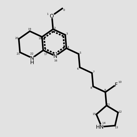 COc1cc(CCCCC(F)C2CCNC2)nc2c1CCCN2